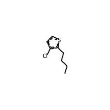 CCCCc1sccc1Cl